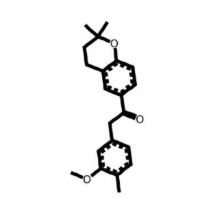 COc1cc(CC(=O)c2ccc3c(c2)CCC(C)(C)O3)ccc1C